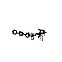 Cc1[nH]c2c(F)ccc(C)c2c1CCNC(=O)c1ccc(-c2ccc(-c3ccccc3)cc2)cc1